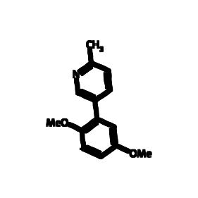 COc1c[c]c(OC)c(-c2ccc(C)nc2)c1